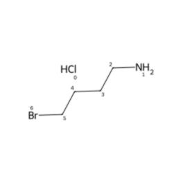 Cl.NCCCCBr